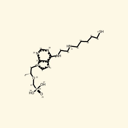 C[C@H](Cn1cnc2c(NCCNCCCCCS)ncnc21)OCP(=O)(O)O